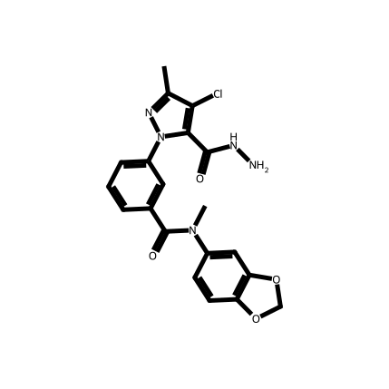 Cc1nn(-c2cccc(C(=O)N(C)c3ccc4c(c3)OCO4)c2)c(C(=O)NN)c1Cl